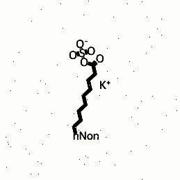 CCCCCCCCCCCCCCCCCC(=O)OS(=O)(=O)[O-].[K+]